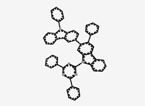 c1ccc(-c2nc(-c3ccccc3)nc(-n3c4ccccc4c4cc(-c5ccccc5)c(-c5ccc6c(c5)c5ccccc5n6-c5ccccc5)cc43)n2)cc1